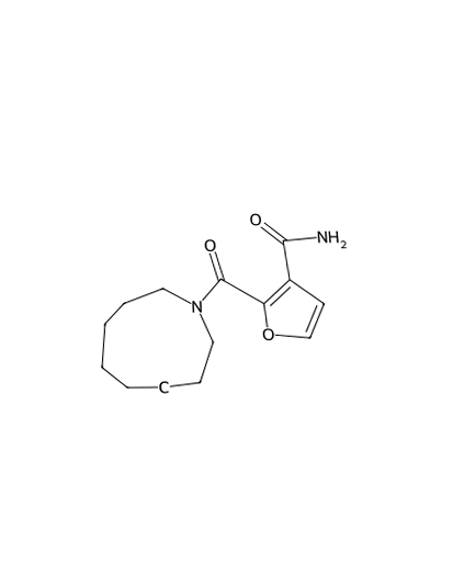 NC(=O)c1ccoc1C(=O)N1CCCCCCCC1